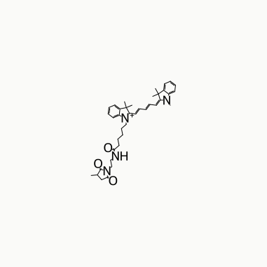 CC1CC(=O)N(CCNC(=O)CCCCC[N+]2=C(/C=C/C=C/C=C3/N(C)c4ccccc4C3(C)C)C(C)(C)c3ccccc32)C1=O